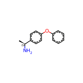 C[C@H](N)c1ccc(Oc2ccccc2)cc1